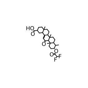 CC1C(OC(=O)C(F)F)CCC2(C)C1CCC1(C)C3CCC4(C)CCC(C(=O)O)CC4C3=CC(=O)C12